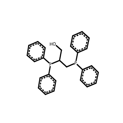 OCC(CP(c1ccccc1)c1ccccc1)P(c1ccccc1)c1ccccc1